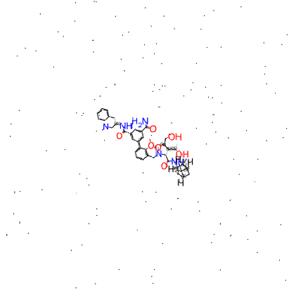 COc1c(CN2O[C@@H](CO)[C@H]([C@H](C)O)C2C(=O)N[C@H]2C[C@H]3C[C@@H]([C@@H]2C)C3(C)C)cccc1-c1cc(C(N)=O)cc(C(=O)N[C@@H](Cc2ccccc2)CN(C)C)c1